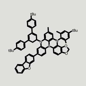 Cc1cc2c3c(c1)N(C1C=C(c4ccc(C(C)(C)C)cc4)C=C(c4ccc(C(C)(C)C)cc4)C1)c1cc(-c4ccc5c(c4)oc4ccccc45)ccc1B3c1ccc3c(c1N2c1c(C)cc(C(C)(C)C)cc1C)OCO3